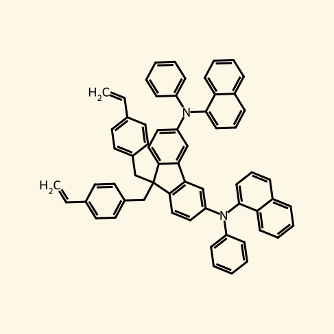 C=Cc1ccc(CC2(Cc3ccc(C=C)cc3)c3ccc(N(c4ccccc4)c4cccc5ccccc45)cc3-c3cc(N(c4ccccc4)c4cccc5ccccc45)ccc32)cc1